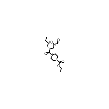 CCCC[C@H](CN(O)C=O)C(=O)N1CCN(C(=O)OCC)CC1